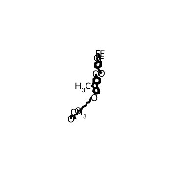 CC1c2cc(OCCCCCCOCC3(C)COC3)ccc2-c2ccc(OC(=O)c3ccc(OC(F)(F)F)cc3)cc21